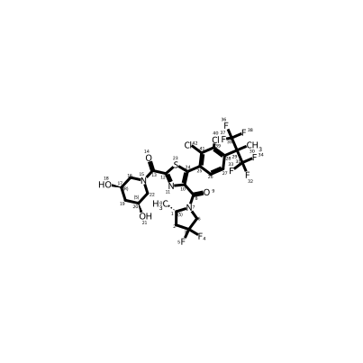 C[C@H]1CC(F)(F)CN1C(=O)c1nc(C(=O)N2C[C@H](O)C[C@H](O)C2)sc1-c1ccc(C(C)(C(F)(F)F)C(F)(F)F)c(Cl)c1Cl